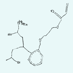 C=CC(=O)OCCOc1ccccc1C(CC(C)Br)CC(Br)CCCCCC